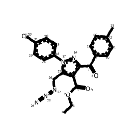 CCOC(=O)c1c(C(=O)c2ccc(C)cc2)nn(-c2ccc(Cl)cc2)c1CN=[N+]=[N-]